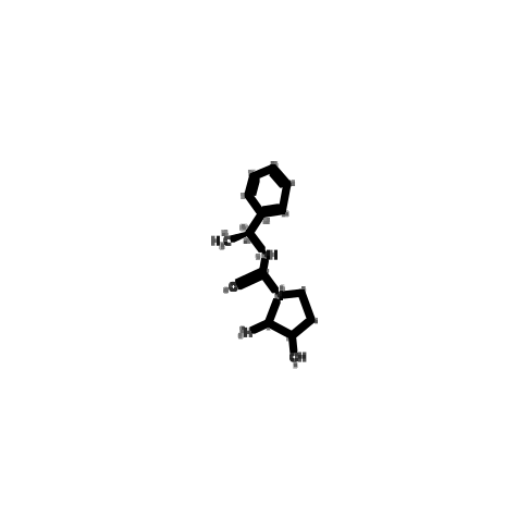 [2H]C1C(O)CCN1C(=O)N[C@@H](C)c1ccccc1